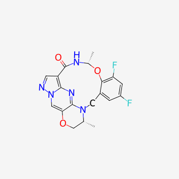 C[C@@H]1COc2cn3ncc4c3nc2N1Cc1cc(F)cc(F)c1O[C@@H](C)NC4=O